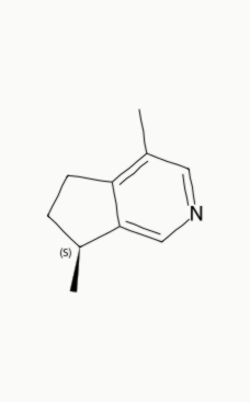 Cc1cncc2c1CC[C@@H]2C